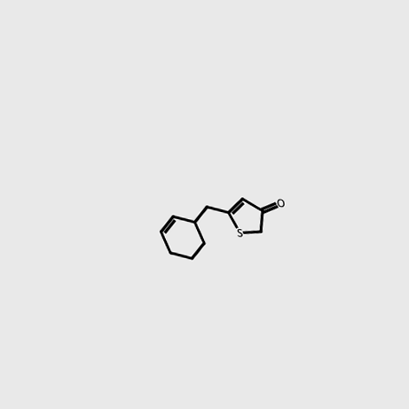 O=C1C=C(CC2C=CCCC2)SC1